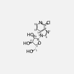 OC[C@H]1O[C@@H](n2cnc3c(Cl)nccc32)[C@H](O)[C@@H]1O